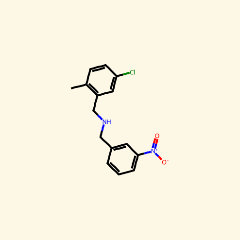 Cc1ccc(Cl)cc1CNCc1cccc([N+](=O)[O-])c1